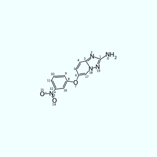 Nc1nc2ccc(Oc3cccc([N+](=O)[O-])c3)cn2n1